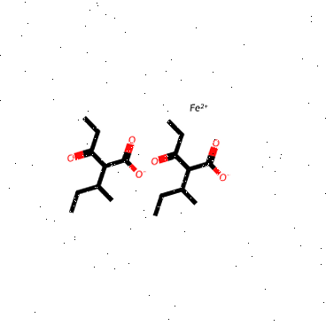 CCC(=O)C(C(=O)[O-])C(C)CC.CCC(=O)C(C(=O)[O-])C(C)CC.[Fe+2]